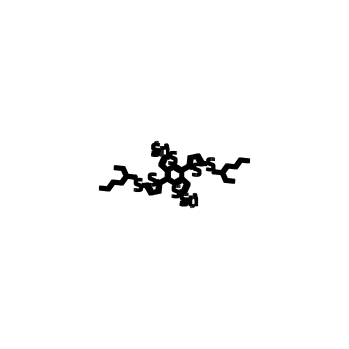 CCCCC(CC)CSc1ccc(-c2c3c[c]([Sn]([CH3])([CH3])[CH3])sc3c(-c3ccc(SCC(CC)CCCC)s3)c3c[c]([Sn]([CH3])([CH3])[CH3])sc23)s1